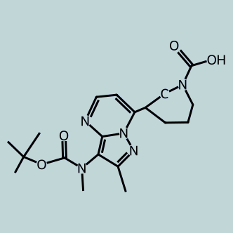 Cc1nn2c(C3CCCN(C(=O)O)C3)ccnc2c1N(C)C(=O)OC(C)(C)C